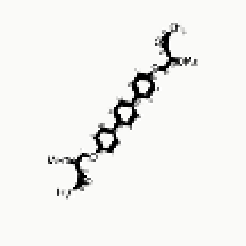 COC(COc1ccc(-c2ccc(-c3ccc(OCC(OC)C4OC4C)cc3)cc2)cc1)C1OC1C